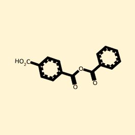 O=C(O)c1ccc(C(=O)OC(=O)c2ccccc2)cc1